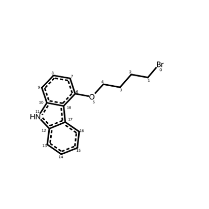 BrCCCCOc1cccc2[nH]c3ccccc3c12